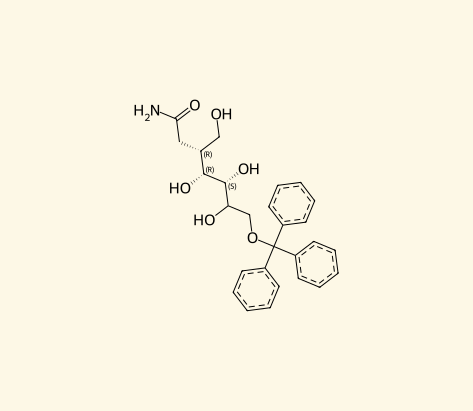 NC(=O)C[C@H](CO)[C@@H](O)[C@H](O)C(O)COC(c1ccccc1)(c1ccccc1)c1ccccc1